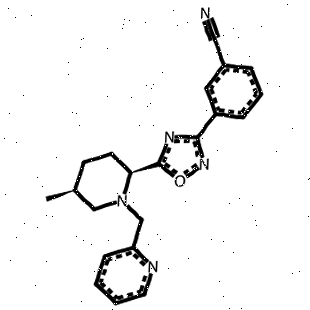 C[C@H]1CC[C@@H](c2nc(-c3cccc(C#N)c3)no2)N(Cc2ccccn2)C1